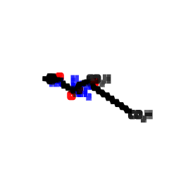 Cc1ccc(C(=O)NCCCC[C@H](NC(=O)CCC[C@H](NC(=O)CCCCCCCCCCCCCCCCC(=O)O)C(=O)O)C(N)=O)cc1